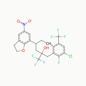 CCC(CC(O)(Cc1cc(C(F)(F)F)cc(Cl)c1F)C(F)(F)F)c1cc([N+](=O)[O-])cc2c1OCC2